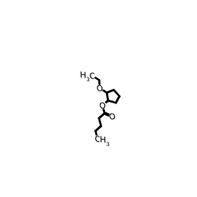 CCCCC(=O)OC1CCCC1OCC